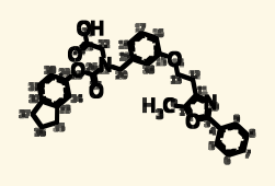 Cc1oc(-c2ccccc2)nc1CCOc1cccc(CN(CC(=O)O)C(=O)Oc2ccc3c(c2)CCC3)c1